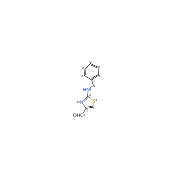 O=Cc1csc(NCc2ccccc2)n1